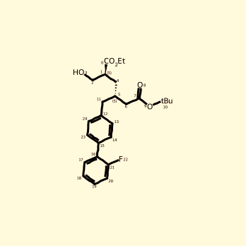 CCOC(=O)[C@H](CO)C[C@H](CC(=O)OC(C)(C)C)Cc1ccc(-c2ccccc2F)cc1